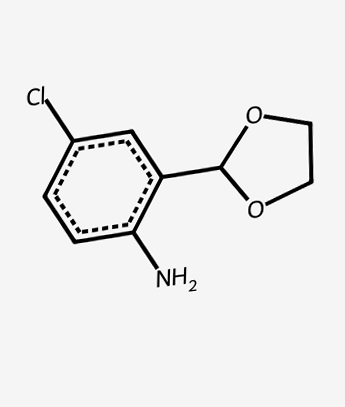 Nc1ccc(Cl)cc1C1OCCO1